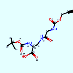 C#CCOC(=O)NCC(=O)NC[C@H](NC(=O)OC(C)(C)C)C(=O)O